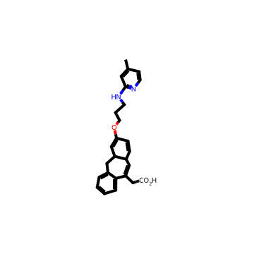 Cc1ccnc(NCCCOC2=CC3Cc4ccccc4C(CC(=O)O)=CC3C=C2)c1